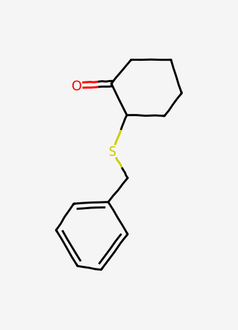 O=C1CCCCC1SCc1ccccc1